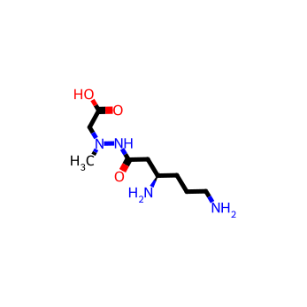 CN(CC(=O)O)NC(=O)C[C@H](N)CCCN